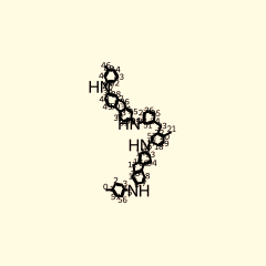 Cc1ccc(Nc2ccc3c(c2)Cc2cc(Nc4ccc(C)c(Cc5cccc(Nc6ccc7c(c6)Cc6cc(Nc8cccc(C)c8)ccc6-7)c5)c4)ccc2-3)cc1